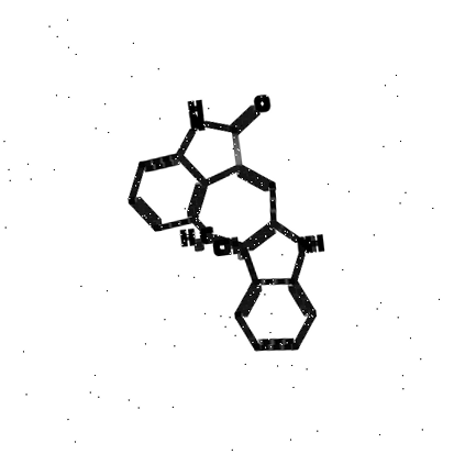 Cc1cccc2c1C(=Cc1[nH]c3ccccc3c1C)C(=O)N2